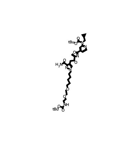 CC(C)(C)OC(=O)NCCOCCOCCCCCCn1cc(CC(=O)c2coc(-c3ccnc(N(CC4CC4)C(=O)OC(C)(C)C)c3)n2)c(C(N)=O)n1